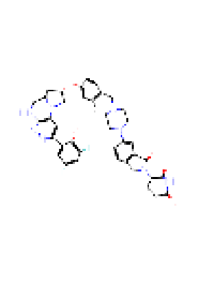 O=C1CCC(N2Cc3ccc(N4CCN(Cc5ccc(O[C@@H]6C[C@@H]7CNc8nnc(-c9cc(F)cc(F)c9O)cc8N7C6)cc5C(F)(F)F)CC4)cc3C2=O)C(=O)N1